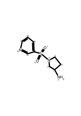 NC1CCN(S(=O)(=O)c2cccnc2)C1